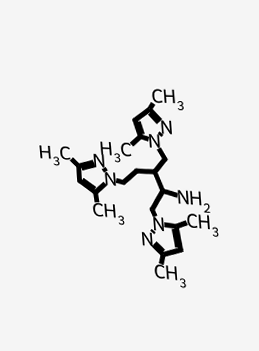 Cc1cc(C)n(CCC(Cn2nc(C)cc2C)C(N)Cn2nc(C)cc2C)n1